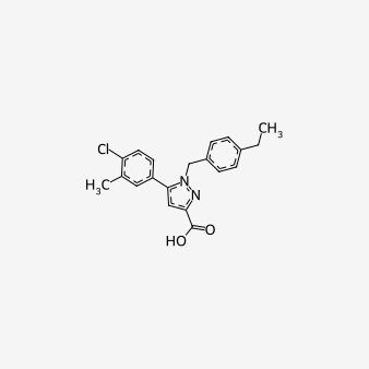 CCc1ccc(Cn2nc(C(=O)O)cc2-c2ccc(Cl)c(C)c2)cc1